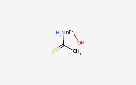 CC(N)=S.CCCO